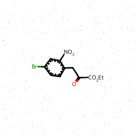 CCOC(=O)C(=O)Cc1ccc(Br)cc1[N+](=O)[O-]